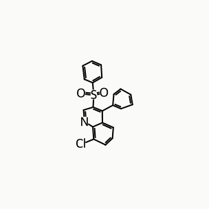 O=S(=O)(c1ccccc1)c1cnc2c(Cl)cccc2c1-c1ccccc1